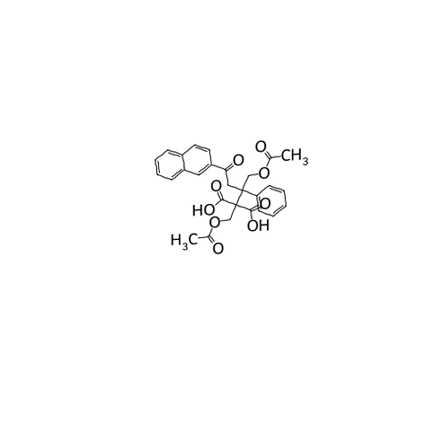 CC(=O)OCC(C(=O)O)(C(=O)O)C(COC(C)=O)(CC(=O)c1ccc2ccccc2c1)c1ccccc1